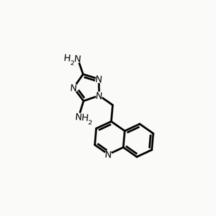 Nc1nc(N)n(Cc2ccnc3ccccc23)n1